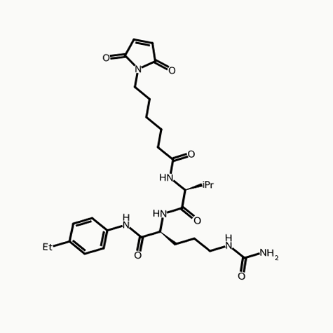 [CH2]Cc1ccc(NC(=O)[C@H](CCCNC(N)=O)NC(=O)[C@@H](NC(=O)CCCCCN2C(=O)C=CC2=O)C(C)C)cc1